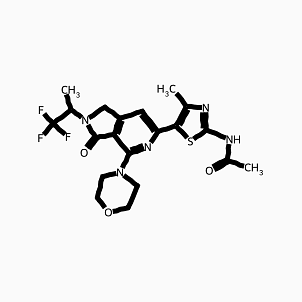 CC(=O)Nc1nc(C)c(-c2cc3c(c(N4CCOCC4)n2)C(=O)N(C(C)C(F)(F)F)C3)s1